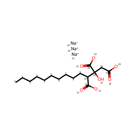 CCCCCCCCCCC(C(=O)[O-])C(O)(CC(=O)[O-])C(=O)[O-].[Na+].[Na+].[Na+]